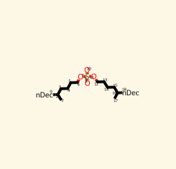 CCCCCCCCCCC(C)CCCCOS(=O)(=O)OCCCCC(C)CCCCCCCCCC